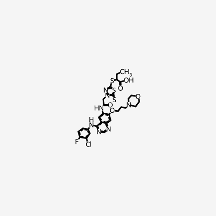 CCC(Sc1nn(CC(=O)Nc2cc3c(Nc4ccc(F)c(Cl)c4)ncnc3cc2OCCCN2CCOCC2)c(=S)s1)C(=O)O